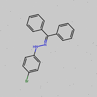 Brc1ccc(NN=C(c2ccccc2)c2ccccc2)cc1